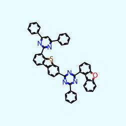 c1ccc(-c2cc(-c3ccccc3)nc(-c3cccc4c3sc3cc(-c5nc(-c6ccccc6)nc(-c6cccc7oc8ccccc8c67)n5)ccc34)n2)cc1